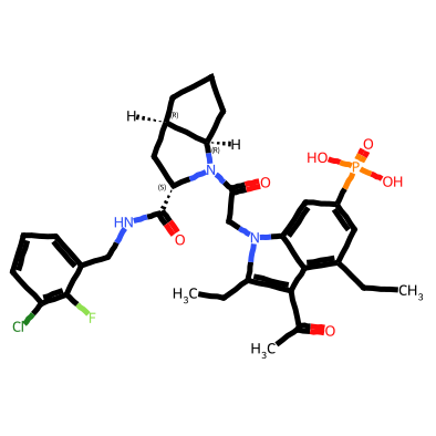 CCc1cc(P(=O)(O)O)cc2c1c(C(C)=O)c(CC)n2CC(=O)N1[C@@H]2CCC[C@@H]2C[C@H]1C(=O)NCc1cccc(Cl)c1F